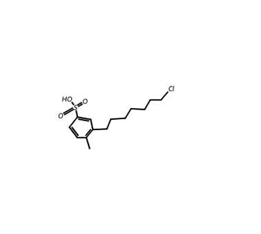 Cc1ccc(S(=O)(=O)O)cc1CCCCCCCCl